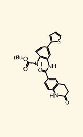 CC(C)(C)OC(=O)Nc1ccc(-c2cccs2)cc1NC(=O)c1ccc2c(c1)CCC(=O)N2